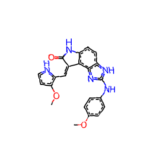 COc1ccc(Nc2nc3c4c(ccc3[nH]2)NC(=O)C4=Cc2[nH]ccc2OC)cc1